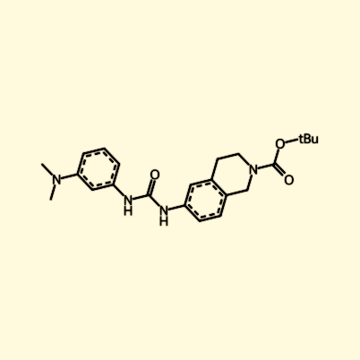 CN(C)c1cccc(NC(=O)Nc2ccc3c(c2)CCN(C(=O)OC(C)(C)C)C3)c1